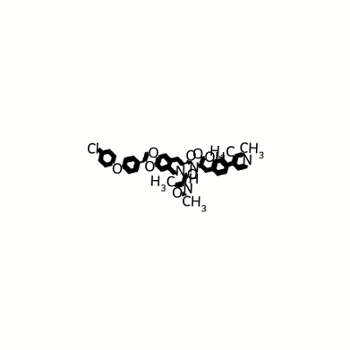 Cc1nc(C(=O)N2Cc3cc4c(cc3C[C@H]2C(=O)NC(Cc2ccc(-c3ccnc(C)c3C)cc2)C(=O)O)OC[C@H](c2ccc(OC3CCC(Cl)CC3)cc2)O4)c(C)o1